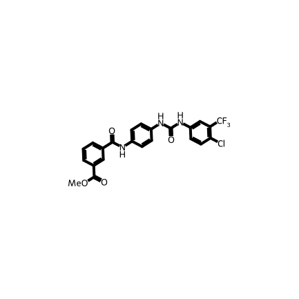 COC(=O)c1cccc(C(=O)Nc2ccc(NC(=O)Nc3ccc(Cl)c(C(F)(F)F)c3)cc2)c1